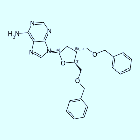 Nc1ncnc2c1ncn2[C@H]1C[C@H](COCc2ccccc2)[C@@H](COCc2ccccc2)O1